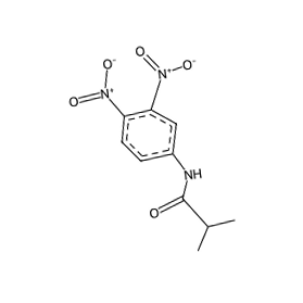 CC(C)C(=O)Nc1ccc([N+](=O)[O-])c([N+](=O)[O-])c1